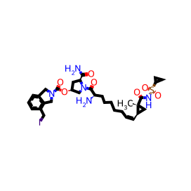 C[C@]1(C(=O)NS(=O)(=O)C2CC2)C[C@H]1/C=C\CCCCC[C@H](N)C(=O)N1C[C@H](OC(=O)N2Cc3cccc(CI)c3C2)C[C@H]1C(N)=O